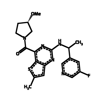 CO[C@H]1CCN(C(=O)c2nc(NC(C)c3cncc(F)c3)nc3cc(C)sc23)C1